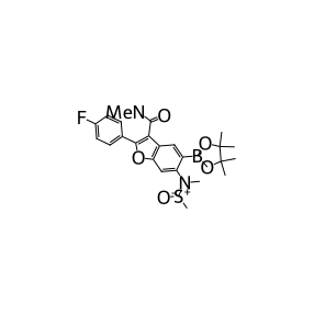 CNC(=O)c1c(-c2ccc(F)cc2)oc2cc(N(C)[S+](C)[O-])c(B3OC(C)(C)C(C)(C)O3)cc12